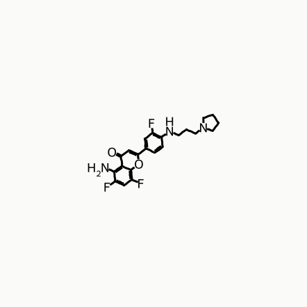 Nc1c(F)cc(F)c2oc(-c3ccc(NCCCN4CCCC4)c(F)c3)cc(=O)c12